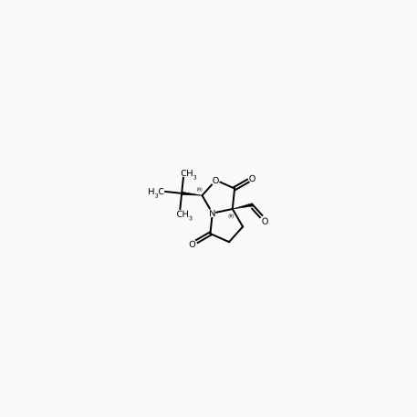 CC(C)(C)[C@H]1OC(=O)[C@]2(C=O)CCC(=O)N12